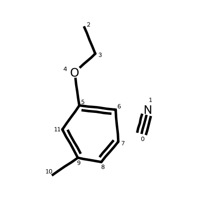 C#N.CCOc1cccc(C)c1